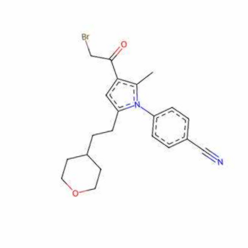 Cc1c(C(=O)CBr)cc(CCC2CCOCC2)n1-c1ccc(C#N)cc1